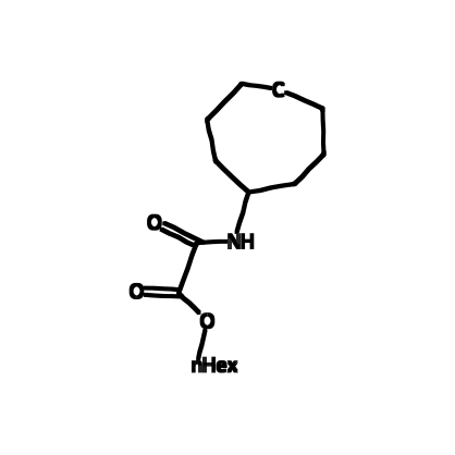 CCCCCCOC(=O)C(=O)NC1CCCCCCC1